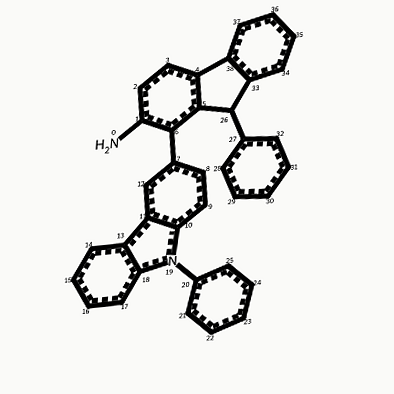 Nc1ccc2c(c1-c1ccc3c(c1)c1ccccc1n3-c1ccccc1)C(c1ccccc1)c1ccccc1-2